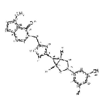 Cn1cnc2ncn(Cc3nc([C@H]4[C@@H]5CN(c6cc(F)cc(C#N)c6)C[C@@H]54)no3)c(=O)c21